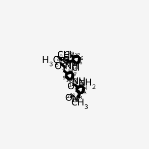 CC(C)OC(=O)[C@H](Cc1ccc(NC(=O)c2cc(CN(C)C=O)ccc2N)cc1)NC(=O)c1c(Cl)cccc1Cl